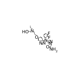 CCCN(CCO)CCCOc1ccc2c(N(c3cnn(CC(N)=O)c3)c3cccc(F)c3F)ncnc2c1